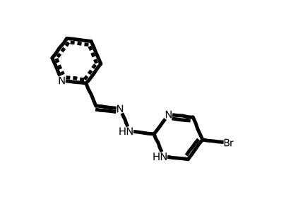 BrC1=CNC(N/N=C/c2ccccn2)N=C1